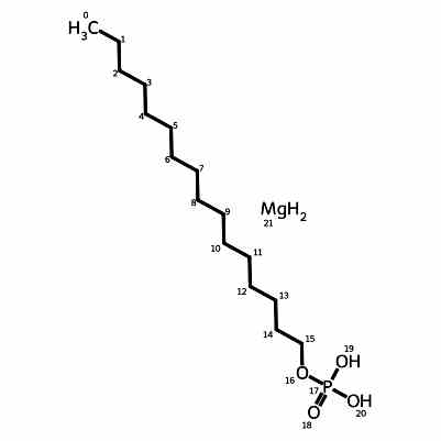 CCCCCCCCCCCCCCCCOP(=O)(O)O.[MgH2]